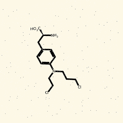 N[C@@H](Cc1ccc(N(CCCl)CCCCl)cc1)C(=O)O